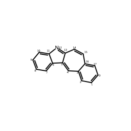 c1ccc2cc3c4ccccc4nc-3ccc2c1